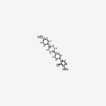 CCC(C)n1ncn(-c2ccc(N3CCN(c4ccc(O)cc4)CC3)cc2)c1=O